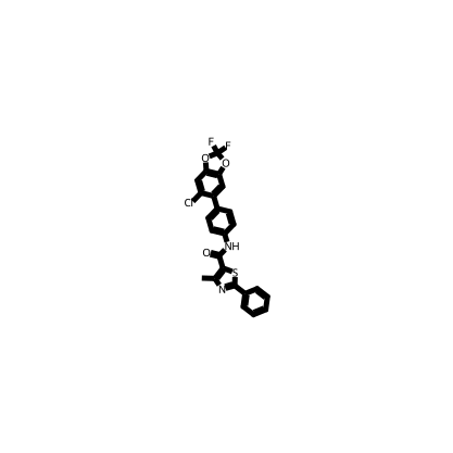 Cc1nc(-c2ccccc2)sc1C(=O)Nc1ccc(-c2cc3c(cc2Cl)OC(F)(F)O3)cc1